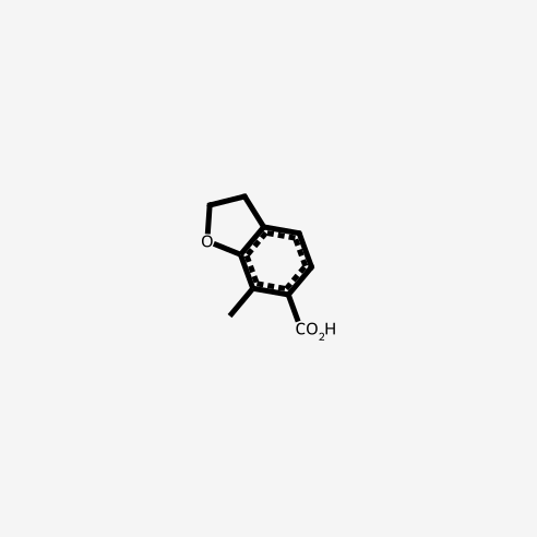 Cc1c(C(=O)O)ccc2c1OCC2